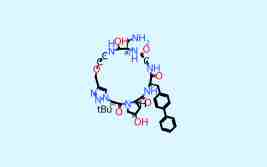 CC(C)(C)[C@H]1C(=O)N2C[C@H](O)C[C@H]2C(=O)N[C@H](Cc2ccc(-c3ccccc3)cc2)C(=O)NCC(=O)N[C@H](CN)C(O)NCCOCc2cn1nn2